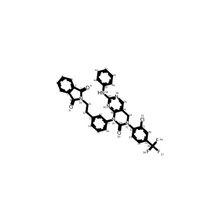 O=C1c2ccccc2C(=O)N1CCc1cccc(N2C(=O)N(c3ccc(C(F)(F)F)cc3Cl)Cc3cnc(Nc4ccccc4)nc32)c1